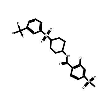 CS(=O)(=O)c1ccc(C(=O)NC2CCC(S(=O)(=O)c3cccc(C(F)(F)F)c3)CC2)c(Cl)c1